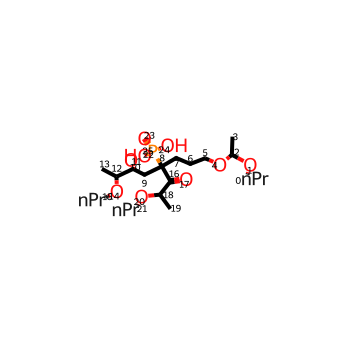 CCCOC(C)OCCCC(CC(=O)C(C)OCCC)(C(=O)C(C)OCCC)P(=O)(O)O